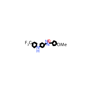 COc1ccc(-c2nc(-c3ccc(Nc4ccc(C(F)(F)F)cc4)cc3)no2)cc1